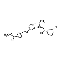 COC(=O)c1ccc(COc2ccc(CC(C)NCC(O)c3cccc(Cl)c3)cc2)o1